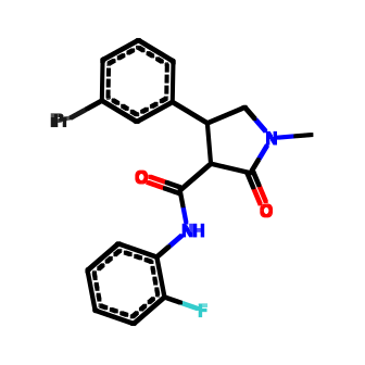 CC(C)c1cccc(C2CN(C)C(=O)C2C(=O)Nc2ccccc2F)c1